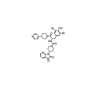 O=C(N[C@H](Cc1cc(Br)c(O)c(Br)c1)C(=O)N1CCC(c2ccncc2)CC1)N1CCC(n2c(=O)[nH]c3cccnc32)CC1